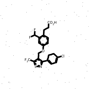 O=C(O)CCc1ccc(OCc2c(C3=CC=C(Cl)CC3)nsc2C(F)(F)F)cc1C(F)F